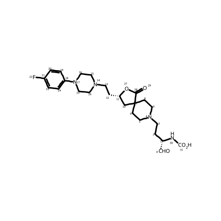 O=C[C@H](CCN1CCC2(CC1)C[C@H](CCN1CCN(c3ccc(F)cc3)CC1)OC2=O)NC(=O)O